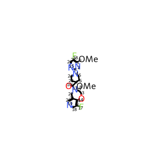 COc1nc(N2CCC(OC)(C(=O)N3CCOc4c(F)cncc4C3)CC2)ncc1F